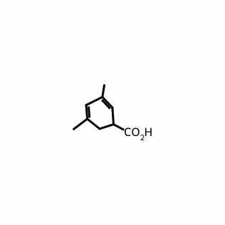 CC1=CC(C(=O)O)CC(C)=C1